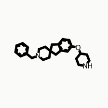 c1ccc(CN2CCC3(CC2)Cc2ccc(OC4CCNCC4)cc2C3)cc1